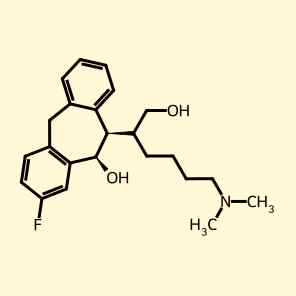 CN(C)CCCCC(CO)[C@@H]1c2ccccc2Cc2ccc(F)cc2[C@@H]1O